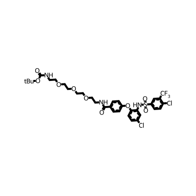 CC(C)(C)OC(=O)NCCOCCOCCOCCNC(=O)c1ccc(Oc2ccc(Cl)cc2NS(=O)(=O)c2ccc(Cl)c(C(F)(F)F)c2)cc1